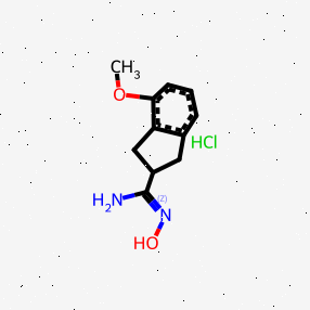 COc1cccc2c1CC(/C(N)=N/O)C2.Cl